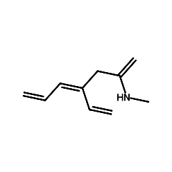 C=C/C=C(\C=C)CC(=C)NC